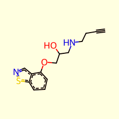 C#CCCNCC(O)COc1cccc2sncc12